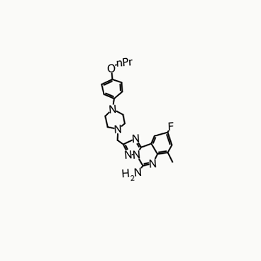 CCCOc1ccc(N2CCN(Cc3nc4c5cc(F)cc(C)c5nc(N)n4n3)CC2)cc1